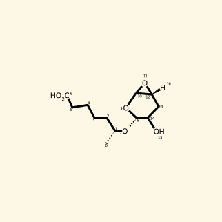 C[C@H](CCCCC(=O)O)O[C@@H]1OC2O[C@@H]2CC1O